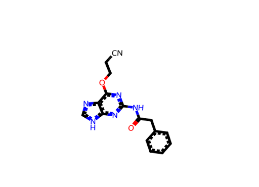 N#CCCOc1nc(NC(=O)Cc2ccccc2)nc2[nH]cnc12